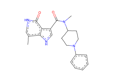 Cc1c[nH]c(=O)c2c(C(=O)N(C)C3CCN(c4ccccc4)CC3)c[nH]c12